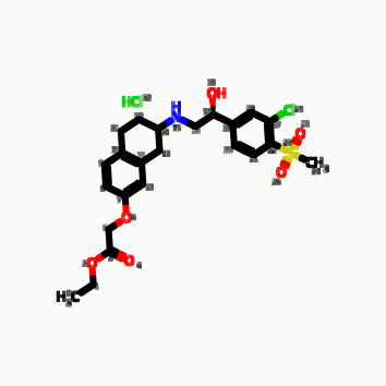 CCOC(=O)COc1ccc2c(c1)CC(NC[C@@H](O)c1ccc(S(C)(=O)=O)c(Cl)c1)CC2.Cl